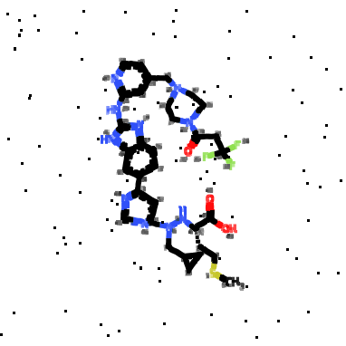 CSCC[C@H](NN(CC1CC1)c1cc(-c2ccc3nc(Nc4cc(CN5CCN(C(=O)CC(F)(F)F)CC5)ccn4)[nH]c3c2)ncn1)C(=O)O